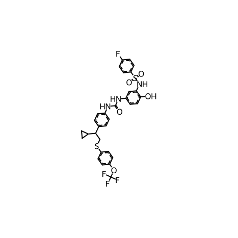 O=C(Nc1ccc(C(CSc2ccc(OC(F)(F)F)cc2)C2CC2)cc1)Nc1ccc(O)c(NS(=O)(=O)c2ccc(F)cc2)c1